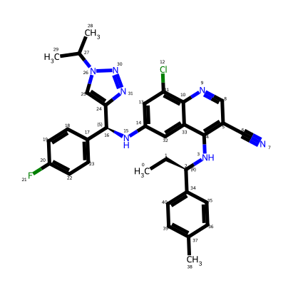 CC[C@@H](Nc1c(C#N)cnc2c(Cl)cc(N[C@@H](c3ccc(F)cc3)c3cn(C(C)C)nn3)cc12)c1ccc(C)cc1